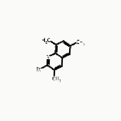 CCc1nc2c(C)cc(C)cc2cc1C